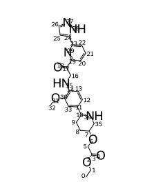 CCOC(=O)COC1CCC(c2ccc(NCC(=O)c3cccc(-c4ccn[nH]4)n3)c(OC)c2)NC1